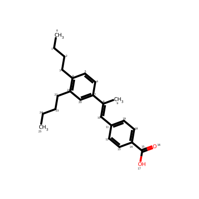 CCCCc1ccc(/C(C)=C/c2ccc(C(=O)O)cc2)cc1CCCC